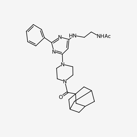 CC(=O)NCCNc1cc(N2CCN(C(=O)C34CC5CC(CC(C5)C3)C4)CC2)nc(-c2ccccc2)n1